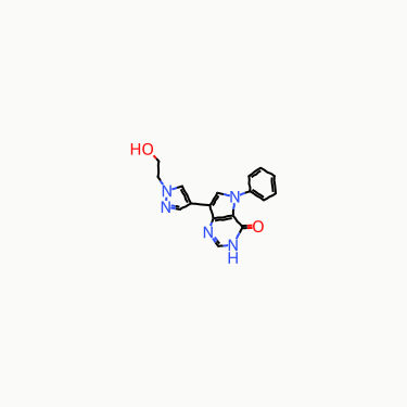 O=c1[nH]cnc2c(-c3cnn(CCO)c3)cn(-c3ccccc3)c12